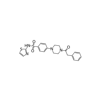 O=C(Cc1ccccc1)N1CCN(c2ccc(S(=O)(=O)Nc3nccs3)cc2)CC1